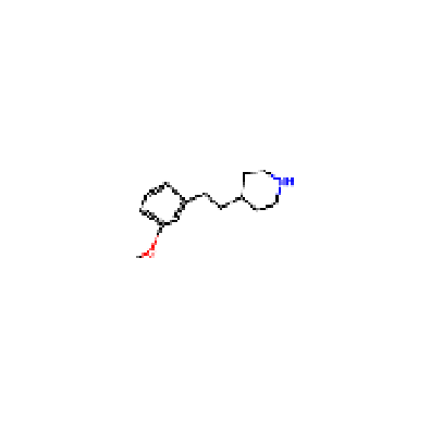 COc1cccc(CCC2CCNCC2)c1